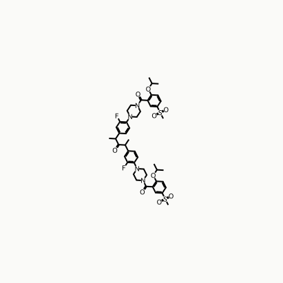 CC(C)Oc1ccc(S(C)(=O)=O)cc1C(=O)N1CCN(c2ccc(C(C)C(=O)C(C)c3ccc(N4CCN(C(=O)c5cc(S(C)(=O)=O)ccc5OC(C)C)CC4)c(F)c3)cc2F)CC1